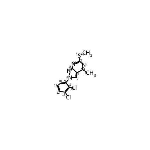 CSc1nc(C)c2cn(-c3cccc(Cl)c3Cl)nc2n1